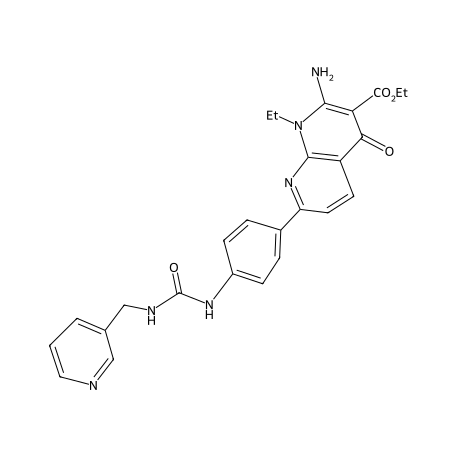 CCOC(=O)c1c(N)n(CC)c2nc(-c3ccc(NC(=O)NCc4cccnc4)cc3)ccc2c1=O